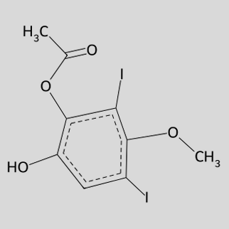 COc1c(I)cc(O)c(OC(C)=O)c1I